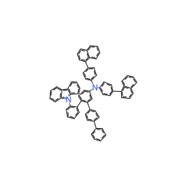 c1ccc(-c2ccc(-c3cc(N(c4ccc(-c5cccc6ccccc56)cc4)c4ccc(-c5cccc6ccccc56)cc4)ccc3-c3ccccc3-n3c4ccccc4c4ccccc43)cc2)cc1